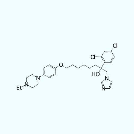 CCN1CCN(c2ccc(OCCCCCCC(O)(Cn3ccnc3)c3ccc(Cl)cc3Cl)cc2)CC1